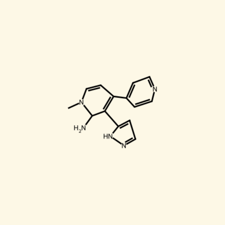 CN1C=CC(c2ccncc2)=C(c2ccn[nH]2)C1N